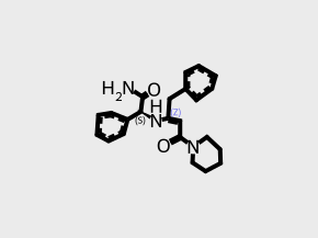 NC(=O)[C@@H](N/C(=C\C(=O)N1CCCCC1)Cc1ccccc1)c1ccccc1